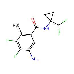 Cc1c(C(=O)NC2(C(F)F)CC2)cc(N)c(F)c1F